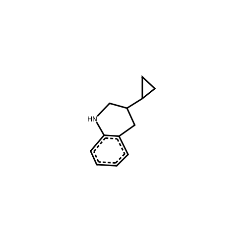 c1ccc2c(c1)CC(C1CC1)CN2